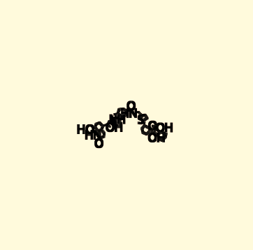 O=C(NCc1ccc(-c2cccc(C(O)(C(=O)O)c3ccccc3)c2)s1)c1ccc(CNCC(O)c2ccc(O)c3[nH]c(=O)ccc23)c(Cl)c1